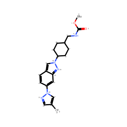 CC(C)(C)OC(=O)NCC1CCC(n2cc3ccc(-n4cc(C(F)(F)F)cn4)cc3n2)CC1